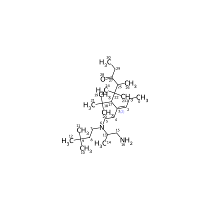 CC/C=C(/CCN(CCC(C)(C)C)C(C)CN)C(C(C)(C)C)C(C)(C)C(C)C(=O)CC